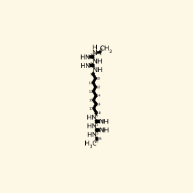 CCNC(=N)NC(=N)NCCCCCCCCCCNC(=N)NC(=N)NCC